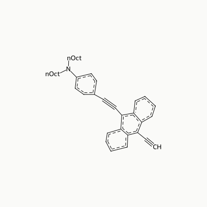 C#Cc1c2ccccc2c(C#Cc2ccc(N(CCCCCCCC)CCCCCCCC)cc2)c2ccccc12